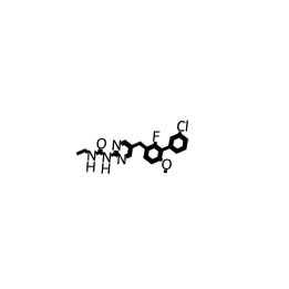 CCNC(=O)Nc1ncc(Cc2ccc(OC)c(-c3cccc(Cl)c3)c2F)cn1